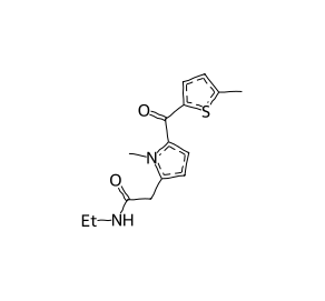 CCNC(=O)Cc1ccc(C(=O)c2ccc(C)s2)n1C